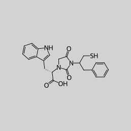 O=C(O)[C@H](Cc1c[nH]c2ccccc12)N1CC(=O)N(C(CS)Cc2ccccc2)C1=O